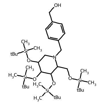 CC(C)(C)[Si](C)(C)OCC1C(O[Si](C)(C)C(C)(C)C)C(O[Si](C)(C)C(C)(C)C)C(O[Si](C)(C)C(C)(C)C)CN1Cc1ccc(CO)cc1